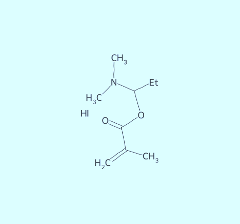 C=C(C)C(=O)OC(CC)N(C)C.I